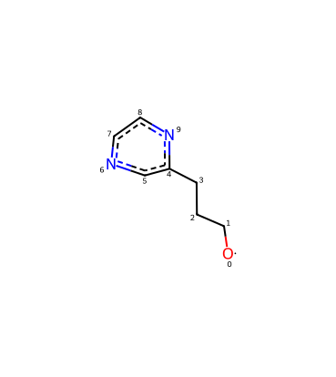 [O]CCCc1cnccn1